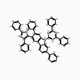 c1ccc(-c2ccc3c4cc5c(cc4n(-c4nc(-c6ccccc6)nc(-c6ccccc6)n4)c3c2)c2ccccc2n2c(-c3ccccc3)nc(-c3ccccc3)c52)cc1